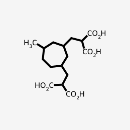 CC1CCC(CC(C(=O)O)C(=O)O)CC(CC(C(=O)O)C(=O)O)C1